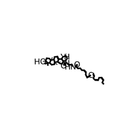 CC/C=C\C/C=C\C/C=C\C/C=C\C/C=C\CCCC(=O)NCCNC(=O)[C@]12CC[C@@H](C)[C@H](C)C1C1=CCC3[C@@]4(C)CC[C@H](O)C(C)(C)C4CC[C@@]3(C)[C@]1(C)CC2